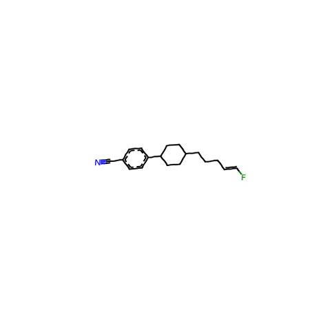 N#Cc1ccc(C2CCC(CCC/C=C/F)CC2)cc1